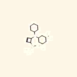 CN(C)C1C=CC1P(C1CCCCC1)C1CCCCC1.[Cl][Pd]